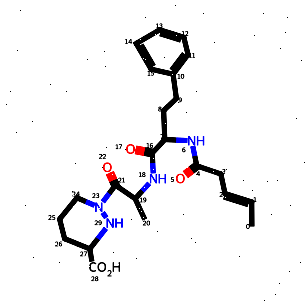 C/C=C/CC(=O)NC(CCc1ccccc1)C(=O)NC(C)C(=O)N1CCCC(C(=O)O)N1